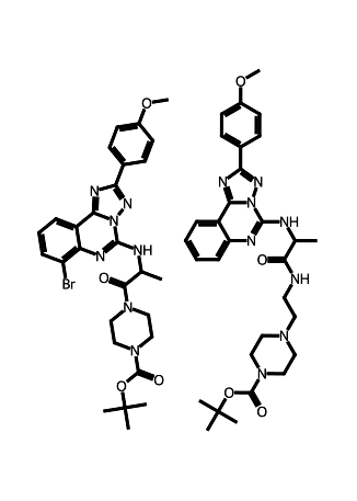 COc1ccc(-c2nc3c4cccc(Br)c4nc(NC(C)C(=O)N4CCN(C(=O)OC(C)(C)C)CC4)n3n2)cc1.COc1ccc(-c2nc3c4ccccc4nc(NC(C)C(=O)NCCN4CCN(C(=O)OC(C)(C)C)CC4)n3n2)cc1